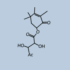 CC(=O)C(O)C(O)C(=O)OC1CC(C)(C)C(C)=C(C)C1=O